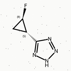 F[C@@H]1C[C@H]1c1nn[nH]n1